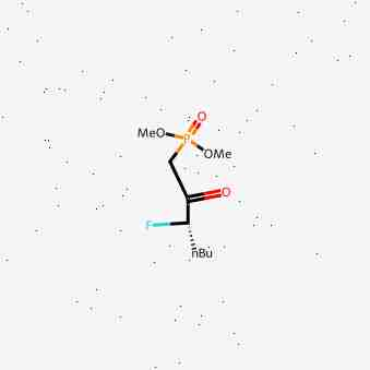 CCCC[C@H](F)C(=O)CP(=O)(OC)OC